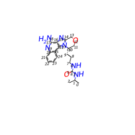 CC(C)NC(=O)NCCC[C@H]1COCc2nc3c(N)nc4ccccc4c3n21